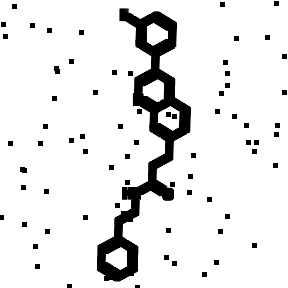 O=C(CCc1ccc2cc(-c3cccc(F)c3)cnc2c1)NCCc1ccccc1